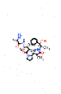 CC[C@H](C)[C@@H]([C@H](CC(=O)N1CCC[C@H]1[C@H](OC)[C@@H](C)C(=O)N[C@H](C)[C@H](O)c1ccccc1)OC)N(C)C(=O)[C@@H](N)C(C)C